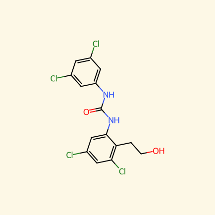 O=C(Nc1cc(Cl)cc(Cl)c1)Nc1cc(Cl)cc(Cl)c1CCO